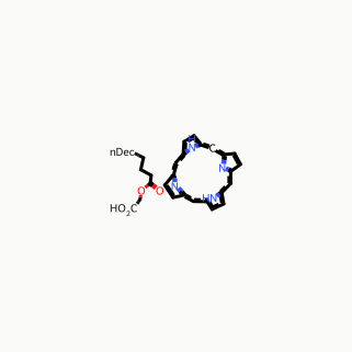 C1=Cc2cc3ccc(cc4nc(cc5ccc(cc1n2)[nH]5)C=C4)[nH]3.CCCCCCCCCCCCCC(=O)OCC(=O)O